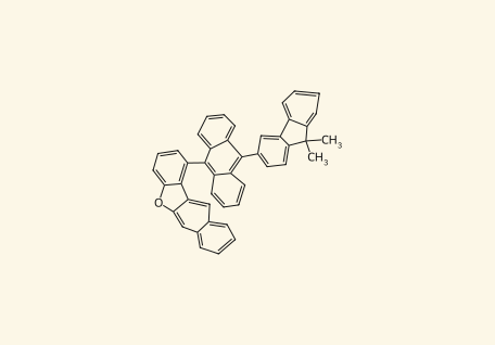 CC1(C)c2ccccc2-c2cc(-c3c4ccccc4c(-c4cccc5oc6cc7ccccc7cc6c45)c4ccccc34)ccc21